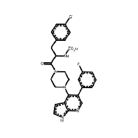 O=C(O)NC(Cc1ccc(Cl)cc1)C(=O)N1CCN(c2c(-c3cccc(F)c3)cnc3[nH]ccc23)CC1